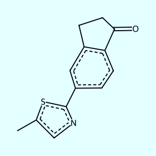 Cc1cnc(-c2ccc3c(c2)CCC3=O)s1